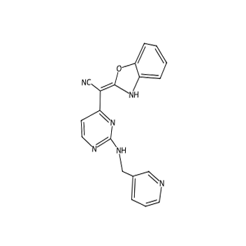 N#CC(=C1Nc2ccccc2O1)c1ccnc(NCc2cccnc2)n1